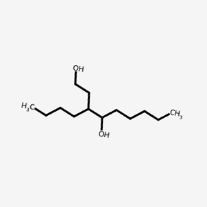 CCCCCC(O)C(CCO)CCCC